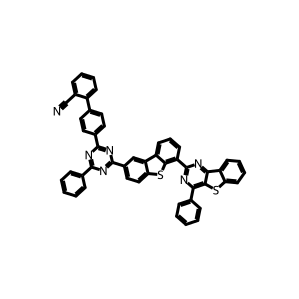 N#Cc1ccccc1-c1ccc(-c2nc(-c3ccccc3)nc(-c3ccc4sc5c(-c6nc(-c7ccccc7)c7sc8ccccc8c7n6)cccc5c4c3)n2)cc1